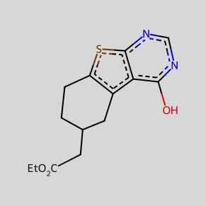 CCOC(=O)CC1CCc2sc3ncnc(O)c3c2C1